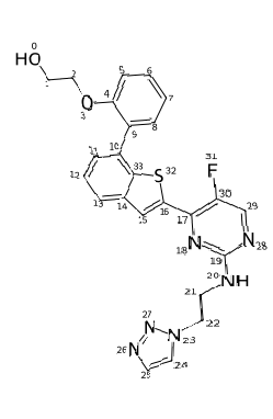 OCCOc1ccccc1-c1cccc2cc(-c3nc(NCCn4ccnn4)ncc3F)sc12